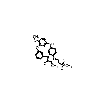 C=CC(=O)Nc1cccc(Oc2nc(Nc3ccc(OCCS(C)(=O)=O)cc3)ncc2OC)c1